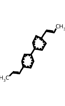 CC=Cc1ccc(-c2ccc(C=CC)cc2)cc1